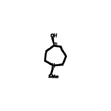 CSN1CCC[C@H](O)CC1